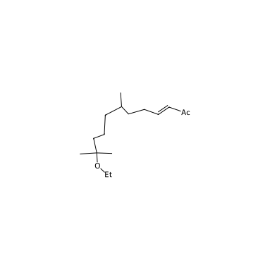 CCOC(C)(C)CCCC(C)CCC=CC(C)=O